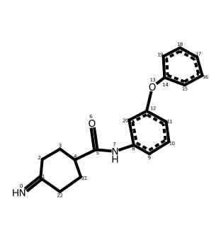 N=C1CCC(C(=O)Nc2cccc(Oc3ccccc3)c2)CC1